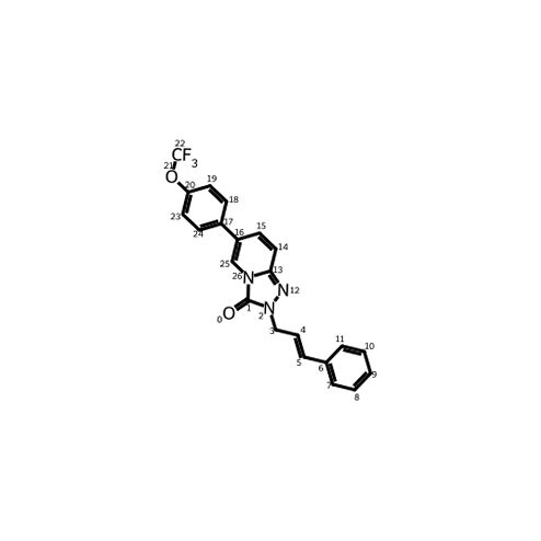 O=c1n(C/C=C/c2ccccc2)nc2ccc(-c3ccc(OC(F)(F)F)cc3)cn12